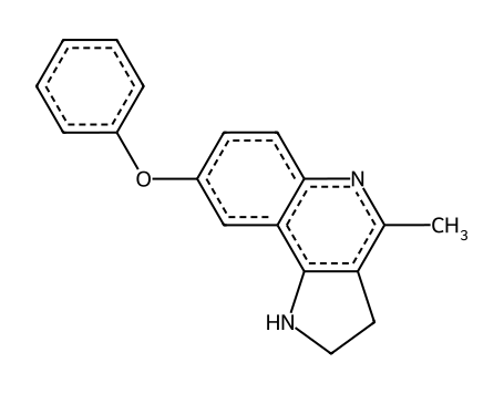 Cc1nc2ccc(Oc3ccccc3)cc2c2c1CCN2